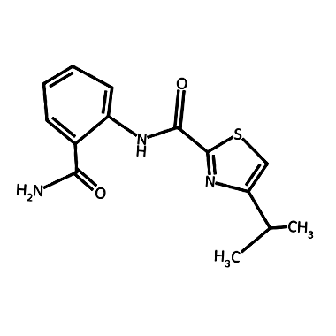 CC(C)c1csc(C(=O)Nc2ccccc2C(N)=O)n1